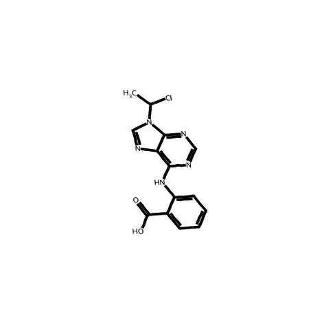 CC(Cl)n1cnc2c(Nc3ccccc3C(=O)O)ncnc21